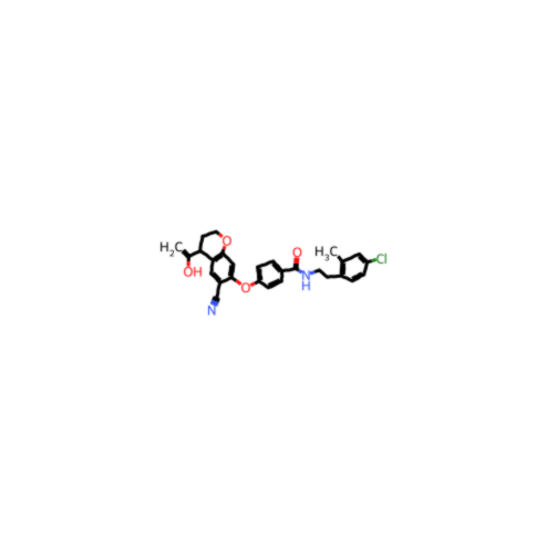 C=C(O)C1CCOc2cc(Oc3ccc(C(=O)NCCc4ccc(Cl)cc4C)cc3)c(C#N)cc21